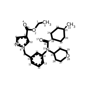 CCOC(=O)c1cnn(Cc2cccc(N(C(=O)[C@H]3CC[C@H](C)CC3)C3CCOCC3)c2)c1